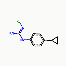 NC(=NCl)Nc1ccc(C2CC2)cc1